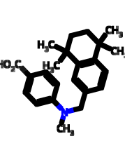 CN(Cc1ccc2c(c1)C(C)(C)CCC2(C)C)c1ccc(C(=O)O)cc1